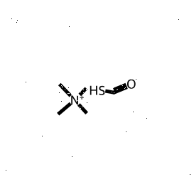 C[N+](C)(C)C.O=CS